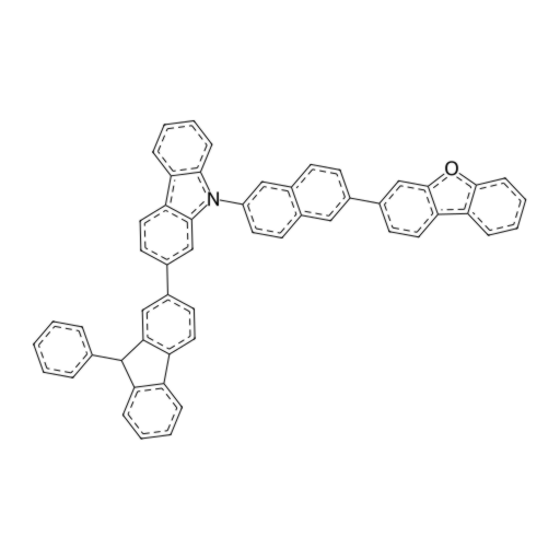 c1ccc(C2c3ccccc3-c3ccc(-c4ccc5c6ccccc6n(-c6ccc7cc(-c8ccc9c(c8)oc8ccccc89)ccc7c6)c5c4)cc32)cc1